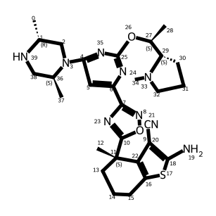 C[C@@H]1CN(c2cc(-c3noc([C@@]4(C)CCCc5sc(N)c(C#N)c54)n3)nc(O[C@@H](C)[C@@H]3CCCN3C)n2)[C@@H](C)CN1